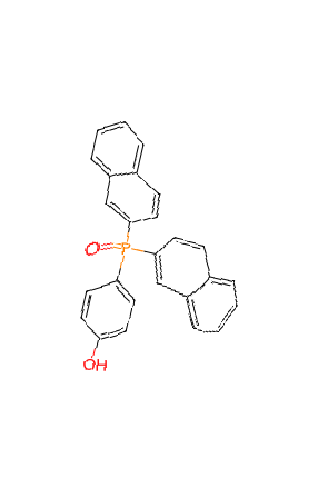 O=P(c1ccc(O)cc1)(c1ccc2ccccc2c1)c1ccc2ccccc2c1